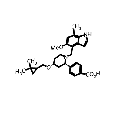 COc1cc(C)c2[nH]ccc2c1CN1CC[C@@H](OCC2CC2(C)C)C[C@@H]1c1ccc(C(=O)O)cc1